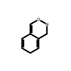 C1=CC2=CO[N]CC2=CC1